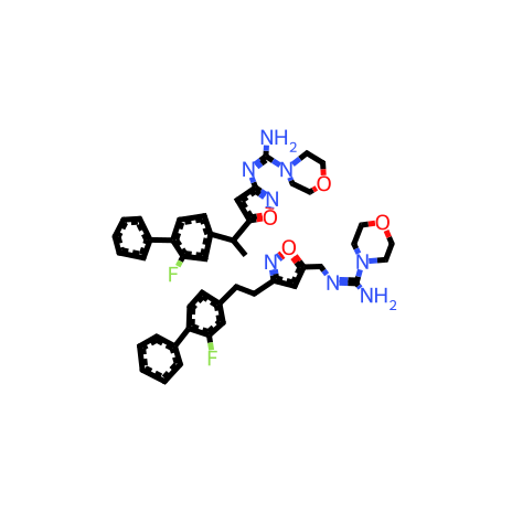 CC(c1ccc(-c2ccccc2)c(F)c1)c1cc(N=C(N)N2CCOCC2)no1.NC(=NCc1cc(CCc2ccc(-c3ccccc3)c(F)c2)no1)N1CCOCC1